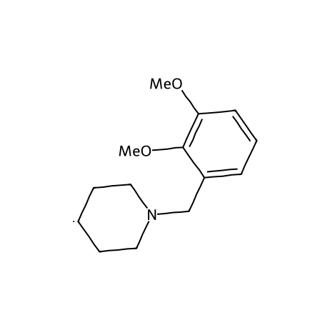 COc1cccc(CN2CC[CH]CC2)c1OC